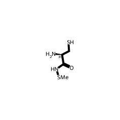 CSNC(=O)[C@@H](N)CS